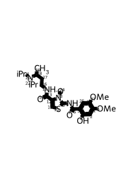 COc1cc(O)c(C(=O)NC2SC=C(C(=O)NCCC(C)N(C(C)C)C(C)C)N2[O])cc1OC